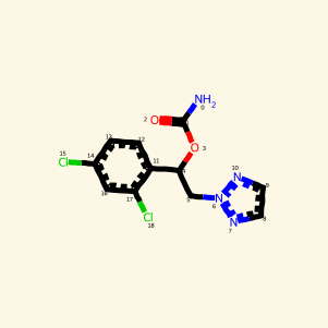 NC(=O)OC(Cn1nccn1)c1ccc(Cl)cc1Cl